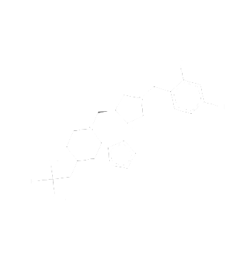 CCCC(C)(O)CC1CCN(C[C@H]2CN(Cc3ccc(Cl)cc3Cl)C[C@@H]2c2ccsc2)CC1